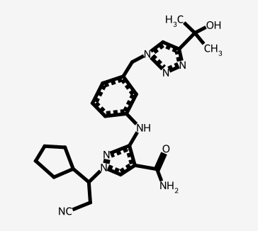 CC(C)(O)c1cn(Cc2cccc(Nc3nn(C(CC#N)C4CCCC4)cc3C(N)=O)c2)nn1